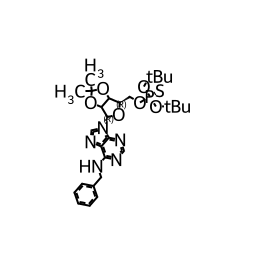 CC(C)(C)OP(=S)(OC[C@H]1O[C@@H](n2cnc3c(NCc4ccccc4)ncnc32)C2OC(C)(C)OC21)OC(C)(C)C